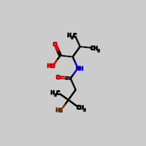 CC(C)C(NC(=O)CC(C)(C)S)C(=O)O